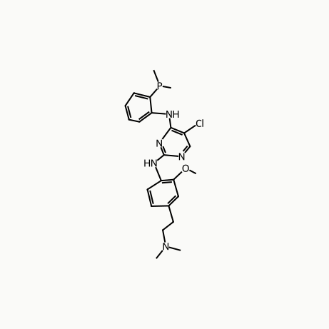 COc1cc(CCN(C)C)ccc1Nc1ncc(Cl)c(Nc2ccccc2P(C)C)n1